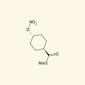 COC(=O)[C@H]1CC[C@H](O[N+](=O)[O-])CC1